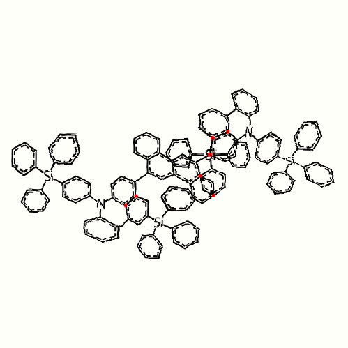 c1ccc([Si](c2ccccc2)(c2ccccc2)c2ccc(N(c3ccc(-c4cc5c6ccccc6c(-c6ccc(N(c7ccc([Si](c8ccccc8)(c8ccccc8)c8ccccc8)cc7)c7ccccc7-c7cccc([Si](c8ccccc8)(c8ccccc8)c8ccccc8)c7)cc6)cc5c5ccccc45)cc3)c3ccccc3-c3cccc([Si](c4ccccc4)(c4ccccc4)c4ccccc4)c3)cc2)cc1